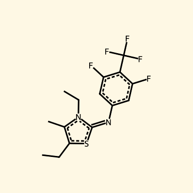 CCc1sc(=Nc2cc(F)c(C(F)(F)F)c(F)c2)n(CC)c1C